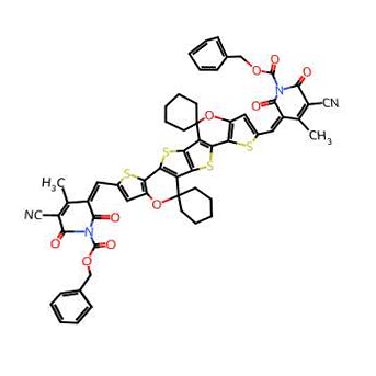 CC1=C(C#N)C(=O)N(C(=O)OCc2ccccc2)C(=O)/C1=C\c1cc2c(s1)-c1sc3c4c(sc3c1C1(CCCCC1)O2)-c1sc(/C=C2\C(=O)N(C(=O)OCc3ccccc3)C(=O)C(C#N)=C2C)cc1OC41CCCCC1